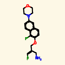 NC/C(=C\F)COc1ccc2cc(N3CCOCC3)ccc2c1F